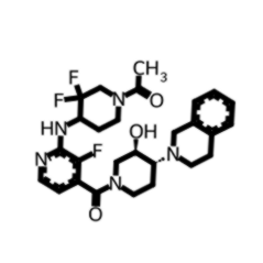 CC(=O)N1CCC(Nc2nccc(C(=O)N3CC[C@@H](N4CCc5ccccc5C4)[C@H](O)C3)c2F)C(F)(F)C1